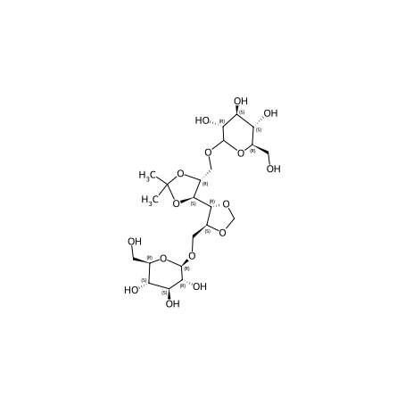 CC1(C)O[C@H]([C@@H]2OCO[C@H]2CO[C@@H]2O[C@H](CO)[C@@H](O)[C@H](O)[C@H]2O)[C@@H](COC2O[C@H](CO)[C@@H](O)[C@H](O)[C@H]2O)O1